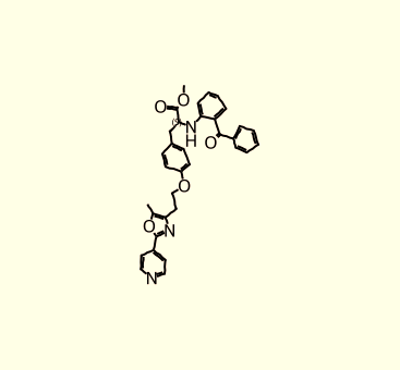 COC(=O)[C@H](Cc1ccc(OCCc2nc(-c3ccncc3)oc2C)cc1)Nc1ccccc1C(=O)c1ccccc1